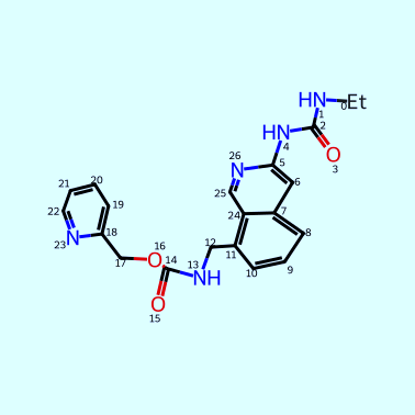 CCNC(=O)Nc1cc2cccc(CNC(=O)OCc3ccccn3)c2cn1